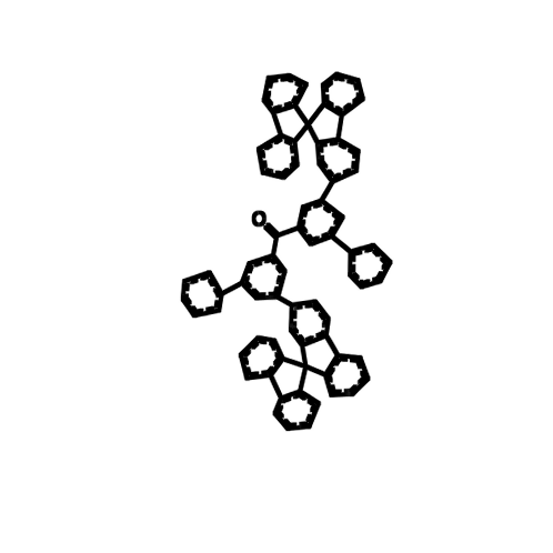 O=C(c1cc(-c2ccccc2)cc(-c2ccc3c(c2)C2(c4ccccc4-c4ccccc42)c2ccccc2-3)c1)c1cc(-c2ccccc2)cc(-c2ccc3c(c2)C2(c4ccccc4-c4ccccc42)c2ccccc2-3)c1